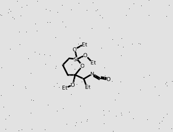 CCOC1(C(CC)N=C=O)CCC[Si](OCC)(OCC)O1